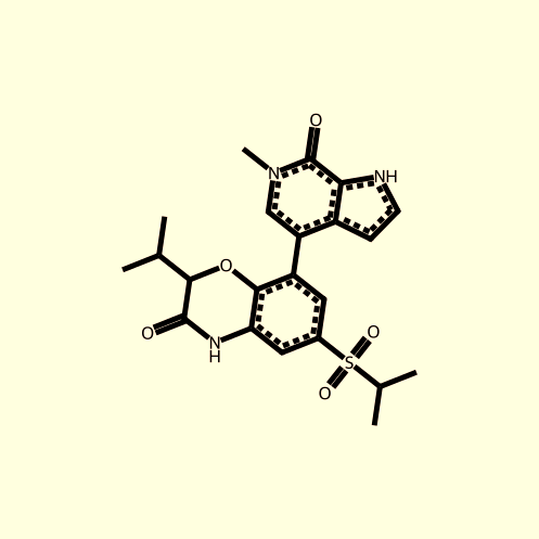 CC(C)C1Oc2c(cc(S(=O)(=O)C(C)C)cc2-c2cn(C)c(=O)c3[nH]ccc23)NC1=O